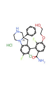 Cl.NC(=O)c1ccc(OCCO)c(F)c1-c1c(Cl)c(F)cc2c1C[C@@]1(c3ccccc3)CNCCN21